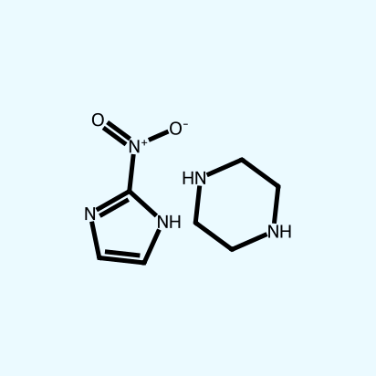 C1CNCCN1.O=[N+]([O-])c1ncc[nH]1